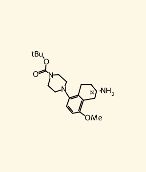 COc1ccc(N2CCN(C(=O)OC(C)(C)C)CC2)c2c1C[C@@H](N)CC2